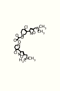 CN(C)Cc1cc(C2=C(Cl)CCN(OC(=O)C(=O)ON3CCC(Cl)=C(c4cc(CN(C)C)on4)C3)C2)no1